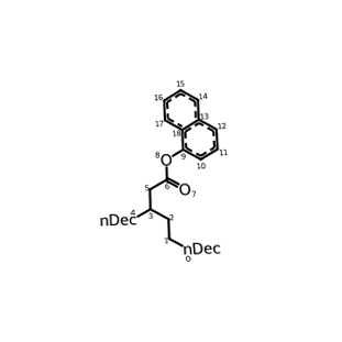 CCCCCCCCCCCCC(CCCCCCCCCC)CC(=O)Oc1cccc2ccccc12